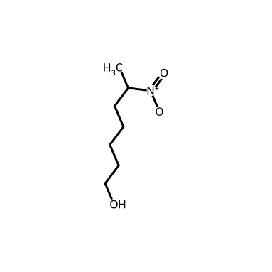 CC(CCCCCO)[N+](=O)[O-]